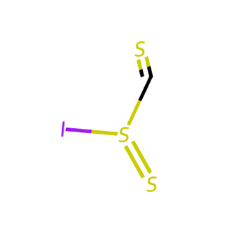 S=CS(=S)I